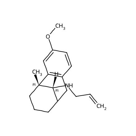 C=CCN[C@@H]1C2CCC[C@]1(C)c1cc(OC)ccc1C2